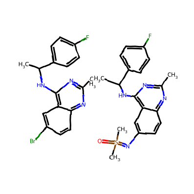 Cc1nc(NC(C)c2ccc(F)cc2)c2cc(Br)ccc2n1.Cc1nc(NC(C)c2ccc(F)cc2)c2cc(N=S(C)(C)=O)ccc2n1